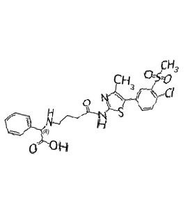 Cc1nc(NC(=O)CCCN[C@@H](C(=O)O)c2ccccc2)sc1-c1ccc(Cl)c(S(C)(=O)=O)c1